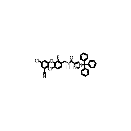 N#Cc1cc(Cl)cc(Oc2c(Cl)ccc(CNC(=O)c3cn(C(c4ccccc4)(c4ccccc4)c4ccccc4)cn3)c2F)c1